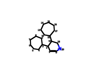 C1=CC(C2CCCCCC2)C(C2CCCCCC2)C[N]1